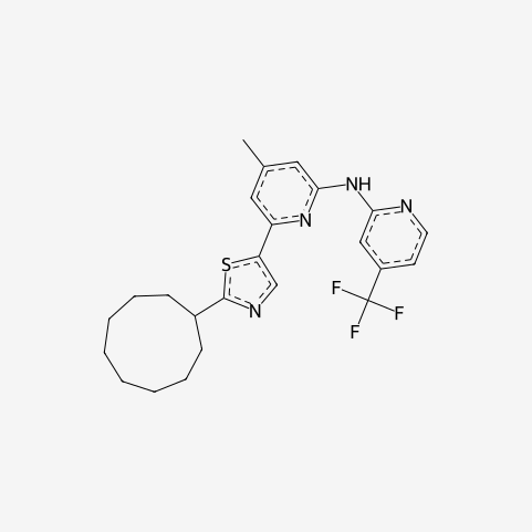 Cc1cc(Nc2cc(C(F)(F)F)ccn2)nc(-c2cnc(C3CCCCCCCC3)s2)c1